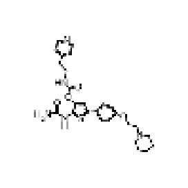 NC(=O)Nc1sc(-c2ccc(OCCN3CCCCC3)cc2)cc1OC(=O)NCCc1ccncc1